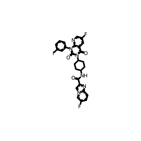 O=C(NC1CCC(n2c(=O)c3cc(F)cnc3n(-c3cccc(I)c3)c2=O)CC1)c1cn2cc(F)ccc2n1